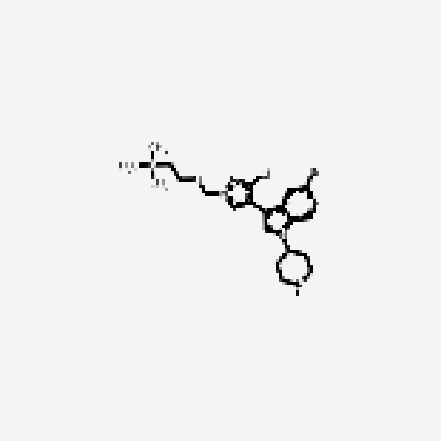 CS(C)(C)CCOCn1cc(-c2cn(C3CCNCC3)c3cnc(Br)cc23)c(Cl)n1